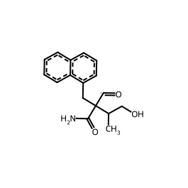 CC(CO)C([C]=O)(Cc1cccc2ccccc12)C(N)=O